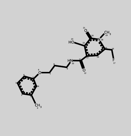 Cc1cccc(OCCCNC(=O)c2cc(CF)n(C)c(=O)c2O)c1